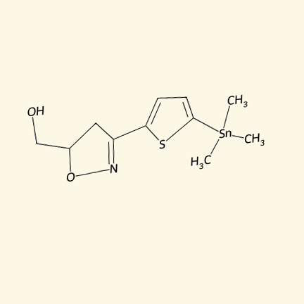 [CH3][Sn]([CH3])([CH3])[c]1ccc(C2=NOC(CO)C2)s1